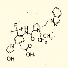 CC(C)n1c(CCn2ncc3ccccc32)ccc1C(=O)Nc1cc(CC(=O)O)c(N2CC[C@@H](O)C2)cc1C(F)(F)F